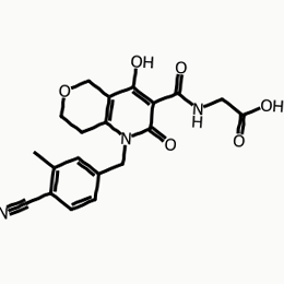 Cc1cc(Cn2c3c(c(O)c(C(=O)NCC(=O)O)c2=O)COCC3)ccc1C#N